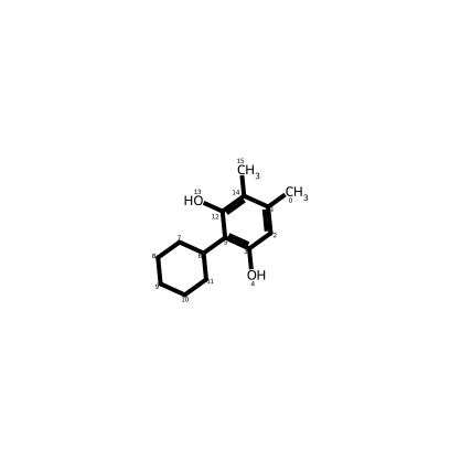 Cc1cc(O)c(C2CCCCC2)c(O)c1C